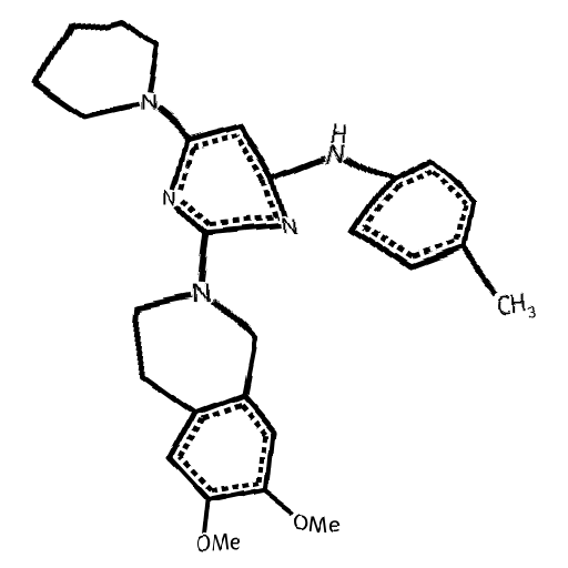 COc1cc2c(cc1OC)CN(c1nc(Nc3ccc(C)cc3)cc(N3CCCCC3)n1)CC2